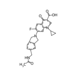 CC(=O)NCc1ccc2c(c1)CN(c1cc3c(cc1F)c(=O)c(C(=O)O)cn3C1CC1)C2